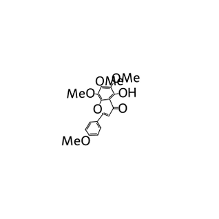 COc1ccc(-c2cc(=O)c3c(O)c(OC)c(OC)c(OC)c3o2)cc1